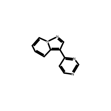 c1ccn2ncc(-c3ccncn3)c2c1